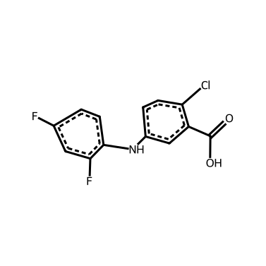 O=C(O)c1cc(Nc2ccc(F)cc2F)ccc1Cl